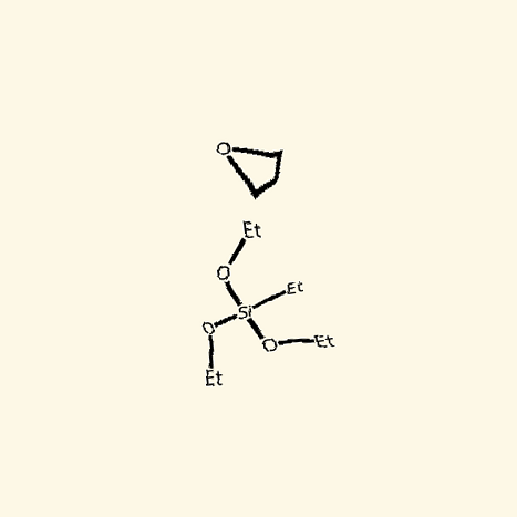 C1CO1.CCO[Si](CC)(OCC)OCC